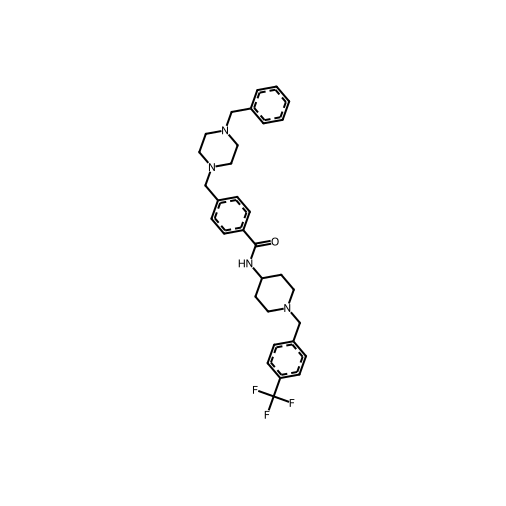 O=C(NC1CCN(Cc2ccc(C(F)(F)F)cc2)CC1)c1ccc(CN2CCN(Cc3ccccc3)CC2)cc1